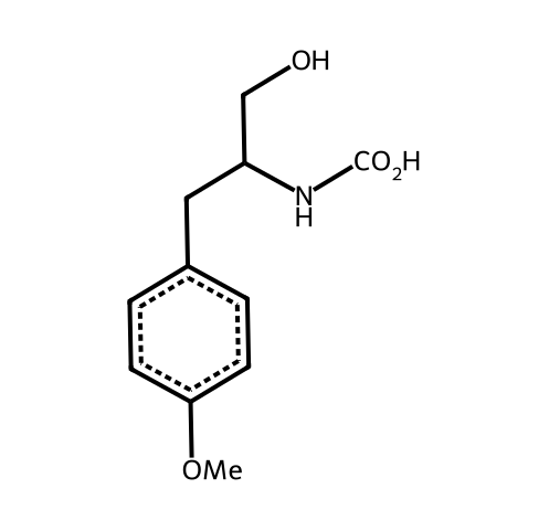 COc1ccc(CC(CO)NC(=O)O)cc1